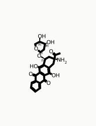 CC(=O)[C@]1(N)Cc2c(O)c3c(c(O)c2[C@@H](O[C@H]2C[C@@H](O)[C@H](O)CO2)C1)C(=O)c1ccccc1C3=O